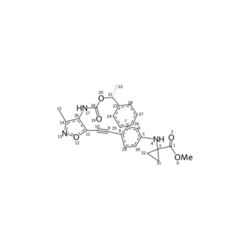 COC(=O)C1(Nc2ccc(C#Cc3onc(C)c3NC(=O)O[C@H](C)c3ccccc3)cc2)CC1